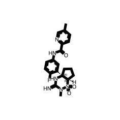 Cc1ccc(C(=O)Nc2ccc(F)c([C@]34CCC[C@H]3S(=O)(=O)N(C)C(=N)N4)c2)nc1